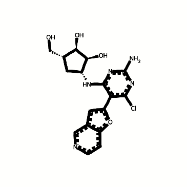 Nc1nc(Cl)c(-c2cc3cnccc3o2)c(N[C@@H]2C[C@H](CO)[C@@H](O)[C@H]2O)n1